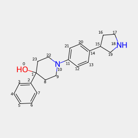 OC1(c2ccccc2)CCN(c2ccc(C3CCNC3)cc2)CC1